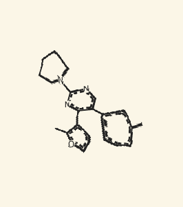 Cc1cccc(-c2cnc(N3CCCCC3)nc2-c2ccoc2C)c1